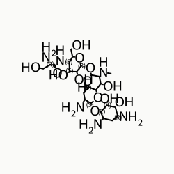 CNC1C(O[C@H]2OC(CO)[C@@H](NC(=O)[C@H](N)CO)[C@H](O)C2O)O[C@H]2CC(N)[C@@H](O[C@@H]3C(N)C[C@@H](N)C(O)[C@H]3O)OC2C1O